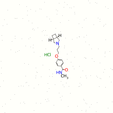 CNC(=O)c1ccc(OCCCN2C[C@H]3CC[C@H]3C2)cc1.Cl